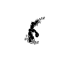 COC(=O)N[C@H](C(=O)N1CCCC1c1nc2cc([C@H]3CC[C@H](c4ccc5[nH]c(C6CCCN6C(=O)[C@@H](NC(=O)OC)C(C)C)nc5c4)N3c3ccc(CCCN4CCCCC4)cc3)ccc2[nH]1)C(C)C